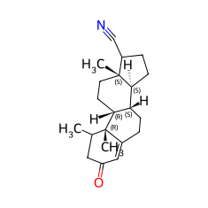 CC1CC(=O)C=C2CC[C@@H]3[C@@H](CC[C@]4(C)C(C#N)CC[C@@H]34)[C@]21C